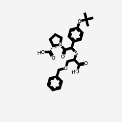 CC(C)(C)Oc1ccc(C(SC(COCc2ccccc2)C(=O)O)C(=O)N2CCC[C@H]2C(=O)O)cc1